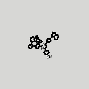 N#Cc1ccc(-c2cc(-c3ccc(-c4cccc5ccccc45)cc3)nc(-c3ccc4c(c3)C3(c5ccccc5-c5ccccc5-4)c4ccccc4-c4ccccc43)n2)cc1